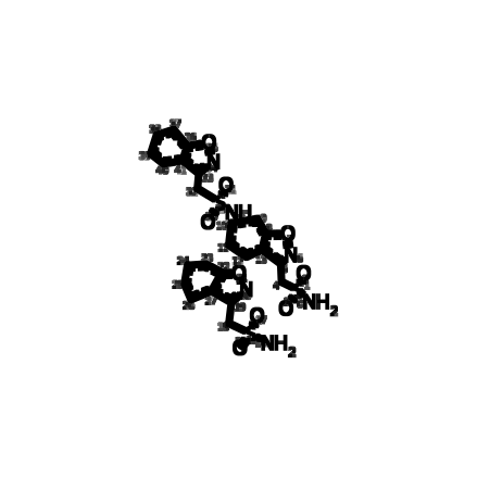 NS(=O)(=O)Cc1noc2ccccc12.NS(=O)(=O)Cc1noc2ccccc12.NS(=O)(=O)Cc1noc2ccccc12